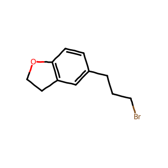 BrCCCc1ccc2c(c1)CCO2